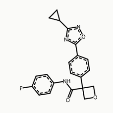 O=C(Nc1ccc(F)cc1)C1(c2ccc(-c3nc(C4CC4)no3)cc2)COC1